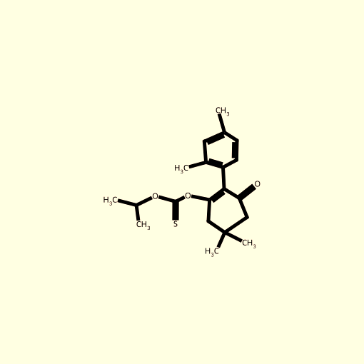 Cc1ccc(C2=C(OC(=S)OC(C)C)CC(C)(C)CC2=O)c(C)c1